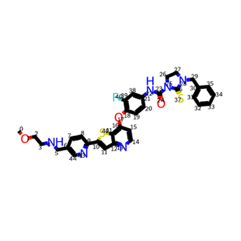 COCCNCc1ccc(-c2cc3nccc(Oc4ccc(NC(=O)N5CCN(Cc6ccccc6)C5=S)cc4F)c3s2)nc1